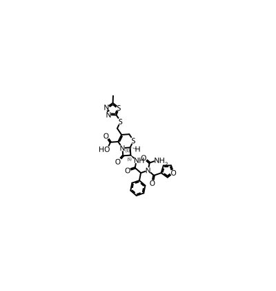 Cc1nnc(SCC2=C(C(=O)O)N3C(=O)[C@H](NC(=O)C(c4ccccc4)N(C(N)=O)C(=O)c4ccoc4)[C@@H]3SC2)s1